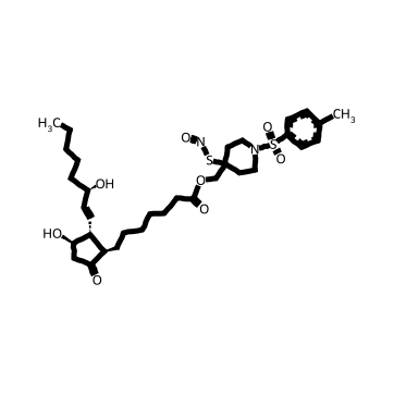 CCCCC[C@H](O)/C=C/[C@H]1[C@H](O)CC(=O)[C@@H]1CCCCCCC(=O)OCC1(SN=O)CCN(S(=O)(=O)c2ccc(C)cc2)CC1